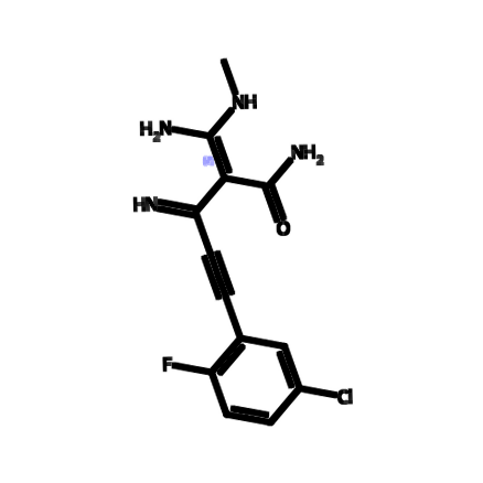 CN/C(N)=C(/C(=N)C#Cc1cc(Cl)ccc1F)C(N)=O